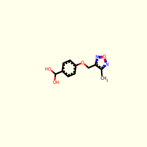 Cc1nonc1COc1ccc(C(O)O)cc1